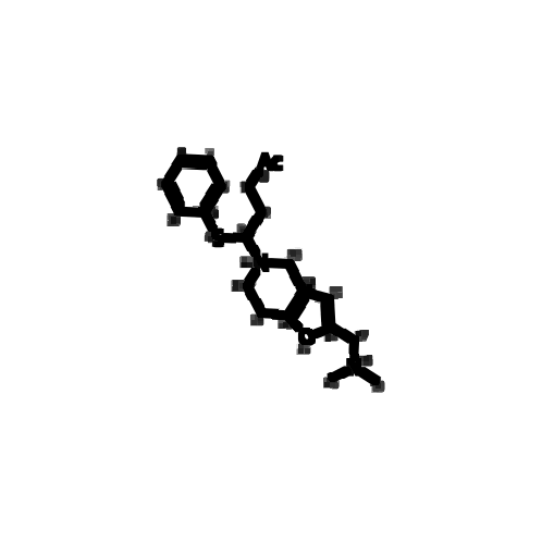 CC(=O)CCC(Sc1ccccc1)N1CCc2oc(CN(C)C)cc2C1